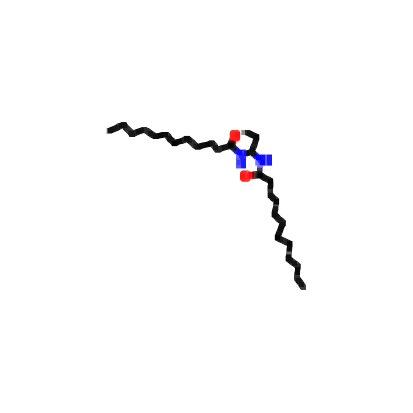 [CH2]CC(NC(=O)CCCCCCCCCCC)NC(=O)CCCCCCCCCCC